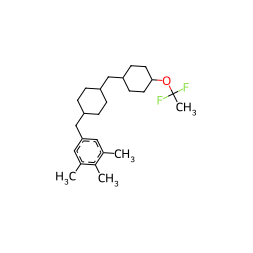 Cc1cc(CC2CCC(CC3CCC(OC(C)(F)F)CC3)CC2)cc(C)c1C